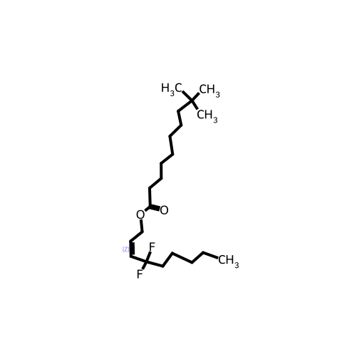 CCCCCC(F)(F)/C=C\COC(=O)CCCCCCCC(C)(C)C